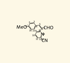 COc1ccc(C=C(C=O)c2cccc(C#N)n2)cc1